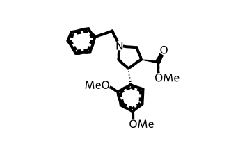 COC(=O)[C@@H]1CN(Cc2ccccc2)C[C@H]1c1ccc(OC)cc1OC